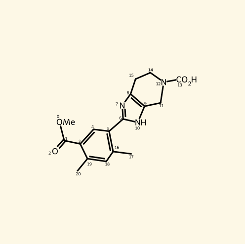 COC(=O)c1cc(-c2nc3c([nH]2)CN(C(=O)O)CC3)c(C)cc1C